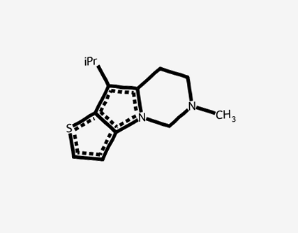 CC(C)c1c2n(c3ccsc13)CN(C)CC2